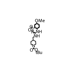 COc1ccc2c(c1)S(=O)(=O)N=C(NCC1CCN(C(=O)OC(C)(C)C)CC1)N2